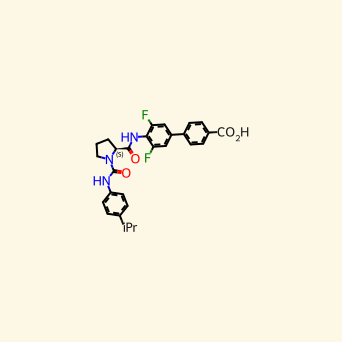 CC(C)c1ccc(NC(=O)N2CCC[C@H]2C(=O)Nc2c(F)cc(-c3ccc(C(=O)O)cc3)cc2F)cc1